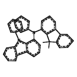 CC1(C)c2ccccc2-c2cccc(N(c3ccccc3)c3cccc4c5ccccc5n(-c5ccccc5)c34)c21